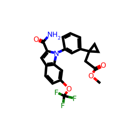 COC(=O)CC1(c2cccc(-n3c(C(N)=O)cc4ccc(OC(F)(F)F)cc43)c2)CC1